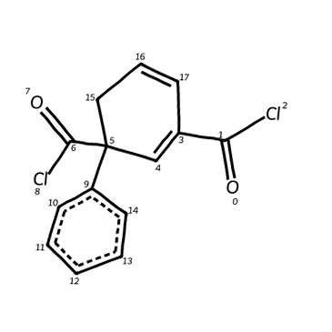 O=C(Cl)C1=CC(C(=O)Cl)(c2ccccc2)CC=C1